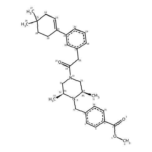 COC(=O)c1ccc(CN2[C@H](C)CN(C(=O)Cc3cccc(C4=CCC(C)(C)CC4)c3)C[C@@H]2C)cc1